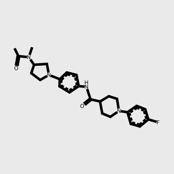 CC(=O)N(C)C1CCN(c2ccc(NC(=O)C3CCN(c4ccc(F)cc4)CC3)cc2)C1